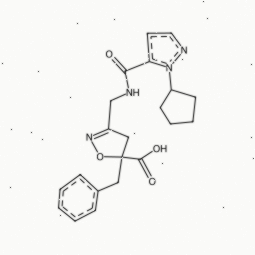 O=C(NCC1=NOC(Cc2ccccc2)(C(=O)O)C1)c1ccnn1C1CCCC1